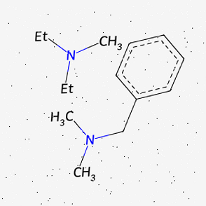 CCN(C)CC.CN(C)Cc1ccccc1